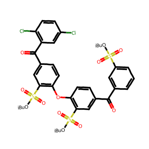 CC(C)COS(=O)(=O)c1cccc(C(=O)c2ccc(Oc3ccc(C(=O)c4cc(Cl)ccc4Cl)cc3S(=O)(=O)OCC(C)C)c(S(=O)(=O)OCC(C)C)c2)c1